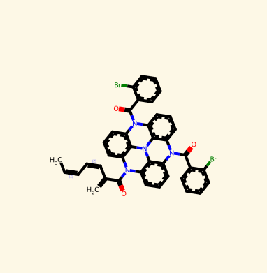 C=C(/C=C\C=C/C)C(=O)N1c2cccc3c2N2c4c1cccc4N(C(=O)c1ccccc1Br)c1cccc(c12)N3C(=O)c1ccccc1Br